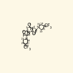 O=C1CC(=O)N(C[C@H](F)c2ccc(C(F)(F)F)cc2)C(=O)N1C[C@@H](F)c1ccc(C(F)(F)F)cc1